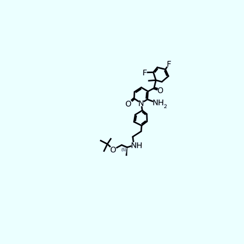 C[C@@H](COC(C)(C)C)NCCc1ccc(-n2c(N)c(C(=O)C3(C)CC=C(F)C=C3F)ccc2=O)cc1